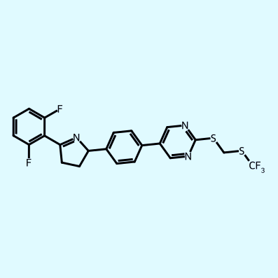 Fc1cccc(F)c1C1=NC(c2ccc(-c3cnc(SCSC(F)(F)F)nc3)cc2)CC1